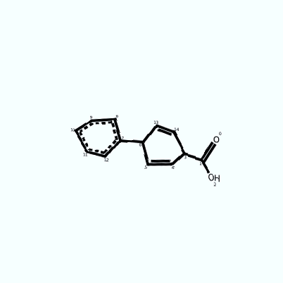 O=C(O)C1C=CC(c2ccccc2)C=C1